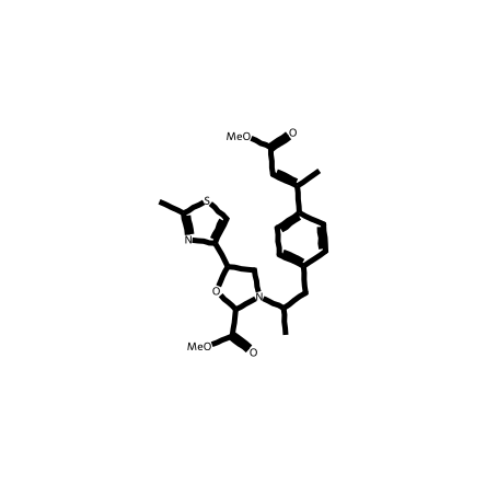 COC(=O)C=C(C)c1ccc(CC(C)N2CC(c3csc(C)n3)OC2C(=O)OC)cc1